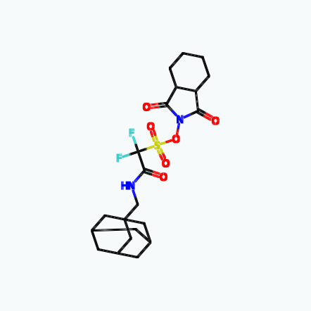 O=C1C2CCCCC2C(=O)N1OS(=O)(=O)C(F)(F)C(=O)NCC12CC3CC(CC(C3)C1)C2